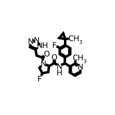 Cc1ncccc1C(NC(=O)C1CC(F)CN1C(=O)Cc1cnn[nH]1)c1ccc(C2(C)CC2)c(F)c1